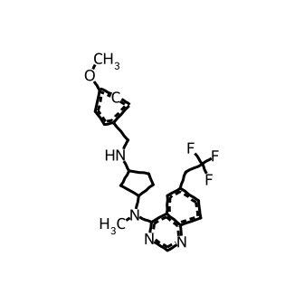 COc1ccc(CNC2CCC(N(C)c3ncnc4ccc(CC(F)(F)F)cc34)C2)cc1